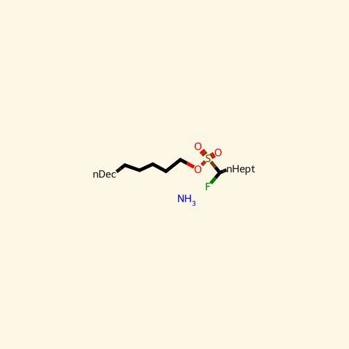 CCCCCCCCCCCCCCCOS(=O)(=O)C(F)CCCCCCC.N